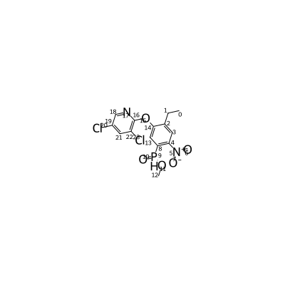 CCc1cc([N+](=O)[O-])c([PH](=O)OC)cc1Oc1ncc(Cl)cc1Cl